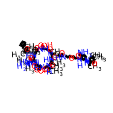 CCC(NC(=N)N)[C@@H]1NC(=O)[C@@H](C)[C@H](C(=O)O)NC(=O)[C@@H](CC(C)C)NC(=O)[C@@H](C)NC(=O)C(CSCCC(=O)NCCCOCCCNc2cc(-n3nc(C)c4c3CC(C)(C)CC4=O)ccc2C(N)=O)N(C)C(=O)CCC(C(=O)O)NC(=O)[C@@H](C)[C@@H](/C=C/C(C)=C/[C@H](C)[C@H](Cc2ccccc2)OC)NC1=O